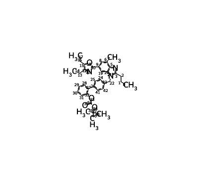 CCCc1nc2c(C)cc(-c3nc(CC)c(CC)o3)cc2n1Cc1ccc(-c2ccccc2OC(=O)OC(C)(C)C)cc1